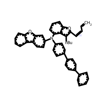 C=C/C=C\c1oc2cccc(N(c3ccc(-c4ccc(-c5ccccc5)cc4)cc3)c3ccc4c(c3)oc3ccccc34)c2c1CCCC